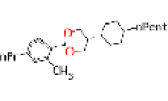 CCCCC[C@H]1CC[C@H](C2COC(c3ccc(CCC)cc3C)OC2)CC1